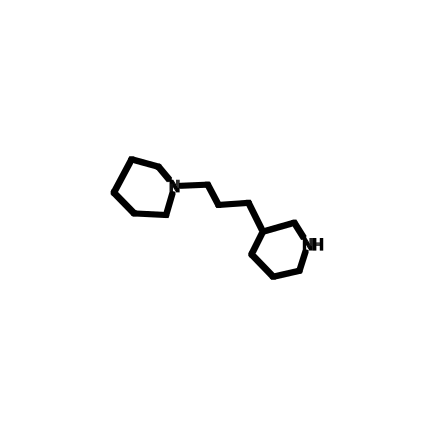 C1CCN(CCCC2CCCNC2)CC1